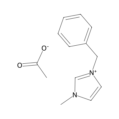 CC(=O)[O-].Cn1cc[n+](Cc2ccccc2)c1